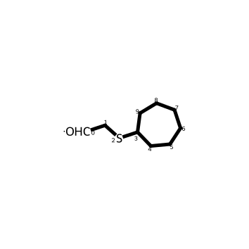 O=[C]CSC1CCCCCC1